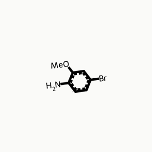 COc1cc(Br)c[c]c1N